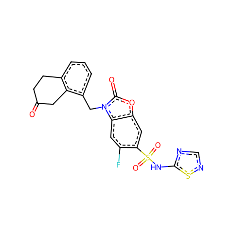 O=C1CCc2cccc(Cn3c(=O)oc4cc(S(=O)(=O)Nc5ncns5)c(F)cc43)c2C1